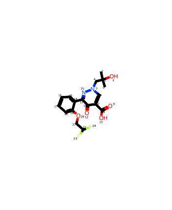 CC(C)(O)Cn1cc(C(=O)O)c(=O)c(-c2ccccc2OCC(F)F)n1